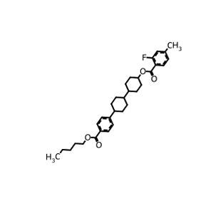 CCCCCOC(=O)c1ccc(C2CCC(C3CCC(OC(=O)c4ccc(C)cc4F)CC3)CC2)cc1